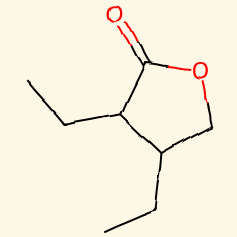 CCC1COC(=O)C1CC